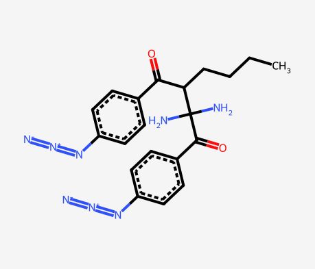 CCCCC(C(=O)c1ccc(N=[N+]=[N-])cc1)C(N)(N)C(=O)c1ccc(N=[N+]=[N-])cc1